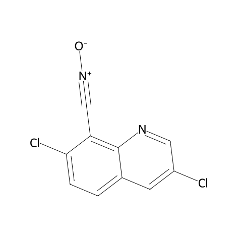 [O-][N+]#Cc1c(Cl)ccc2cc(Cl)cnc12